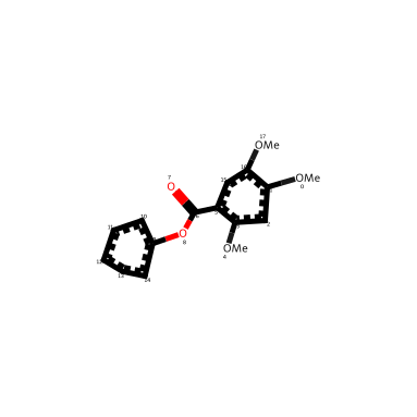 COc1cc(OC)c(C(=O)Oc2ccccc2)cc1OC